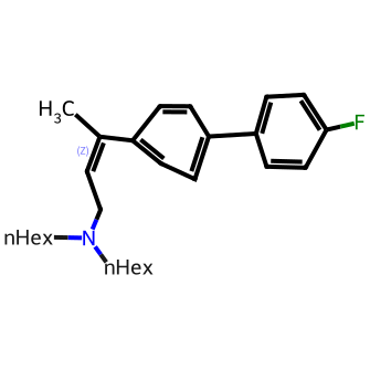 CCCCCCN(C/C=C(/C)c1ccc(-c2ccc(F)cc2)cc1)CCCCCC